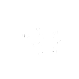 CC(O)CO.Oc1c(Cl)c(Cl)c(Cl)c(Cl)c1Cl